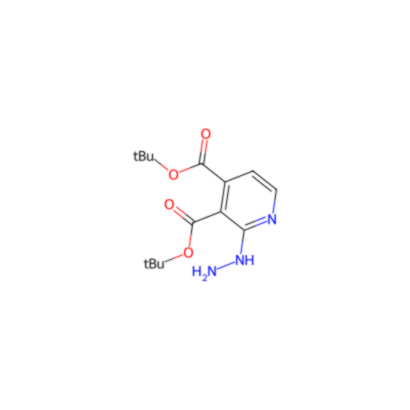 CC(C)(C)OC(=O)c1ccnc(NN)c1C(=O)OC(C)(C)C